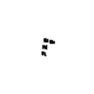 [Os].[Pd].[Pt].[Ru]